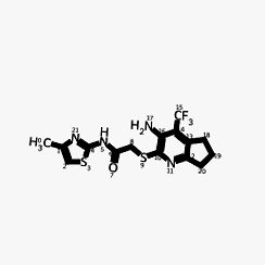 Cc1csc(NC(=O)CSc2nc3c(c(C(F)(F)F)c2N)CCC3)n1